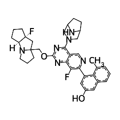 Cc1cccc2cc(O)cc(-c3ncc4c(N5CC6CCC(C5)N6)nc(OCC56CCCN5[C@H]5CCC[C@@]5(F)C6)nc4c3F)c12